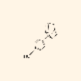 C#Cc1ccc(C2C3CC4CC(C3)CC2C4)cc1